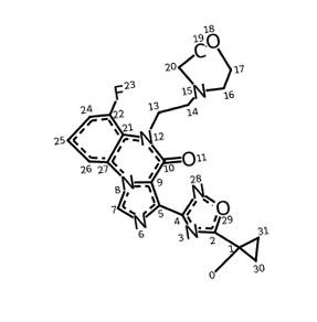 CC1(c2nc(-c3ncn4c3c(=O)n(CCN3CCOCC3)c3c(F)cccc34)no2)CC1